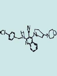 N#Cc1c(NCc2ccc(Cl)cc2)nc2ccccc2c1N1CCC(N2CCOCC2)C1